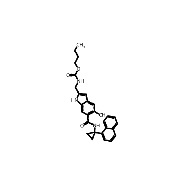 CCCCOC(=O)NCc1cc2cc(C)c(C(=O)NC3(c4cccc5ccccc45)CC3)cc2[nH]1